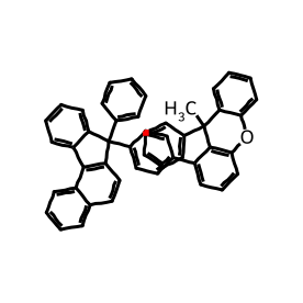 CC1(c2ccccc2)c2ccccc2Oc2cccc(-c3ccc(C4(c5ccccc5)c5ccccc5-c5c4ccc4ccccc54)cc3)c21